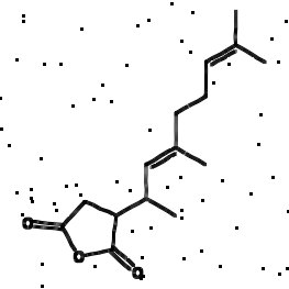 CC(C)=CCC/C(C)=C/C(C)C1CC(=O)OC1=O